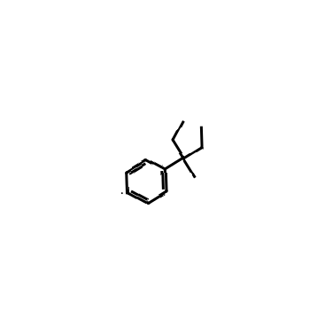 CCC(C)(CC)c1cc[c]cc1